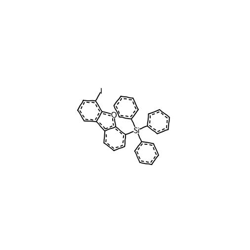 Ic1cccc2c1oc1c([Si](c3ccccc3)(c3ccccc3)c3ccccc3)cccc12